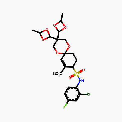 CCOC(=O)C1=CC2(CCC1S(=O)(=O)Nc1ccc(F)cc1Cl)OCC(C1OC(C)O1)(C1OC(C)O1)CO2